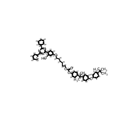 CC(C)(C)c1ccc(Oc2ccc(C(C)(C)c3ccc(OC(=O)OCCCCCCOc4ccc(-c5nc(-c6ccccc6)nc(-c6ccccc6)n5)c(O)c4)cc3)cc2)cc1